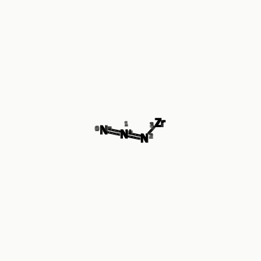 [N-]=[N+]=[N][Zr]